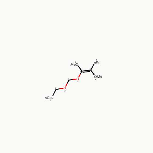 CCCCCCCCCOCO/C(OC)=C(/CCC)OC